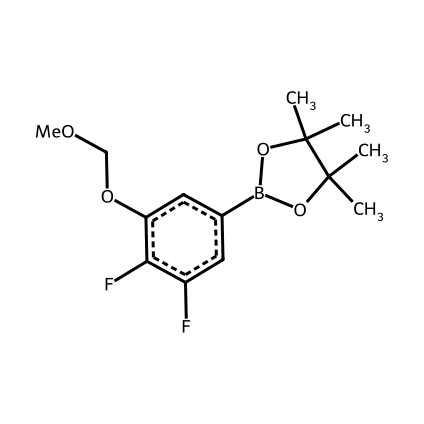 COCOc1cc(B2OC(C)(C)C(C)(C)O2)cc(F)c1F